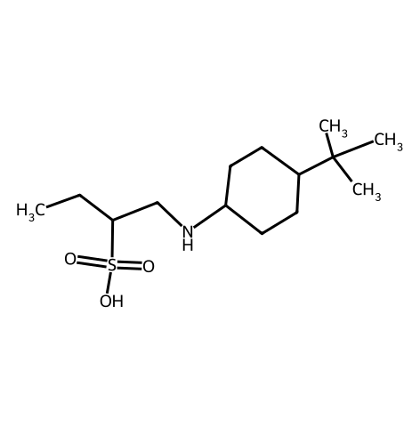 CCC(CNC1CCC(C(C)(C)C)CC1)S(=O)(=O)O